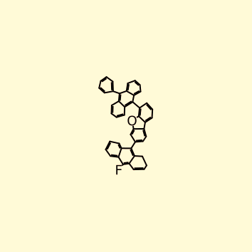 Fc1c2c(c(-c3ccc4c(c3)oc3c(-c5c6ccccc6c(-c6ccccc6)c6ccccc56)cccc34)c3ccccc13)CCC=C2